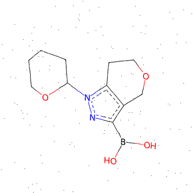 OB(O)c1nn(C2CCCCO2)c2c1COCC2